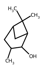 C[C]1CC2CC(C1O)C2(C)C